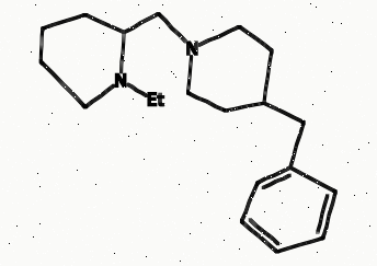 CCN1CCCCC1CN1CCC(Cc2ccccc2)CC1